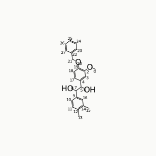 COc1cc(C(O)C(O)c2ccc(C)c(C)c2)ccc1OCc1ccccc1